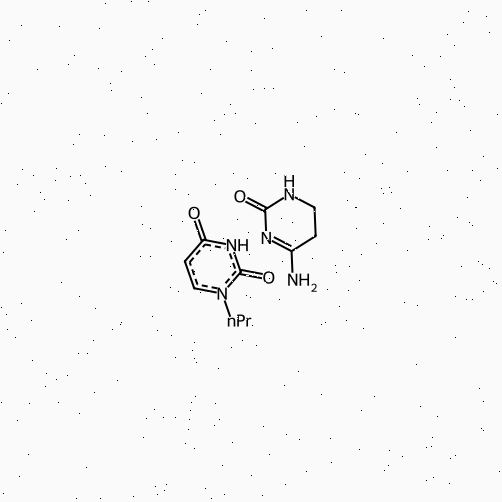 CCCn1ccc(=O)[nH]c1=O.NC1=NC(=O)NCC1